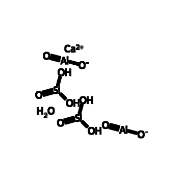 O.O=[Si](O)O.O=[Si](O)O.[Ca+2].[O]=[Al][O-].[O]=[Al][O-]